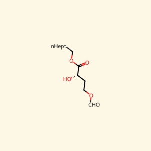 CCCCCCCCOC(=O)[C@@H](O)CCOC=O